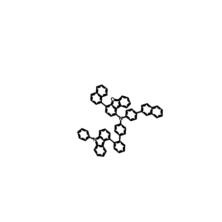 c1ccc(-n2c3ccccc3c3c(-c4ccccc4-c4ccc(N(c5ccc(-c6ccc7ccccc7c6)cc5)c5ccc(-c6cccc7ccccc67)c6oc7ccccc7c56)cc4)cccc32)cc1